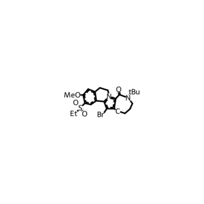 CCS(=O)(=O)c1cc2c(cc1OC)CCn1c3c(c(Br)c1-2)CCCCN(C(C)(C)C)C3=O